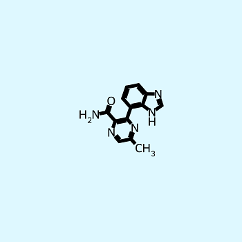 Cc1cnc(C(N)=O)c(-c2cccc3nc[nH]c23)n1